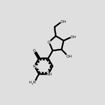 Nc1nc(=O)c(C2OC(CO)C(O)C2O)c[nH]1